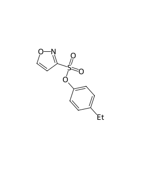 CCc1ccc(OS(=O)(=O)c2ccon2)cc1